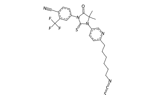 CC1(C)C(=O)N(c2ccc(C#N)c(C(F)(F)F)c2)C(=S)N1c1ccc(CCCCCCN=C=S)nc1